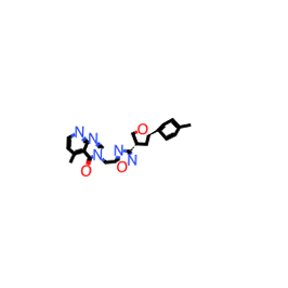 Cc1ccc([C@H]2C[C@H](c3noc(Cn4cnc5nccc(C)c5c4=O)n3)CO2)cc1